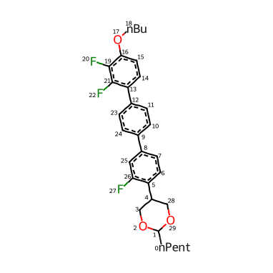 CCCCCC1OCC(c2ccc(-c3ccc(-c4ccc(OCCCC)c(F)c4F)cc3)cc2F)CO1